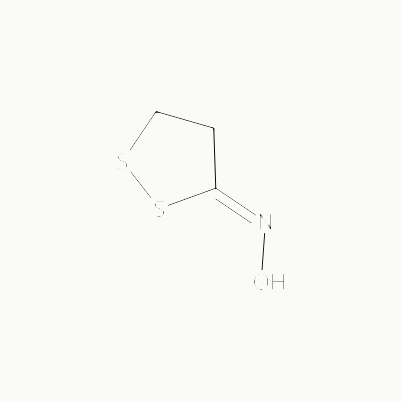 ON=C1CCSS1